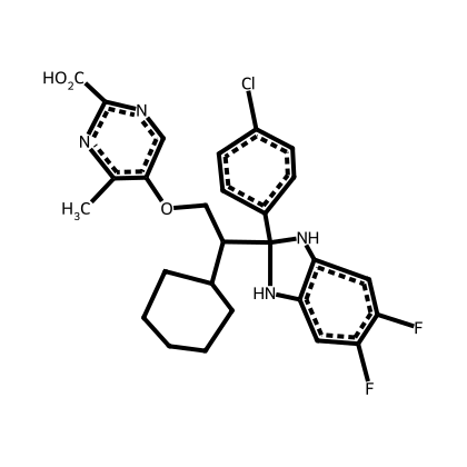 Cc1nc(C(=O)O)ncc1OCC(C1CCCCC1)C1(c2ccc(Cl)cc2)Nc2cc(F)c(F)cc2N1